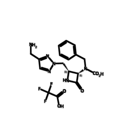 NCc1cnn(C[C@H]2NC(=O)[C@H]2N(Cc2ccccc2)C(=O)O)n1.O=C(O)C(F)(F)F